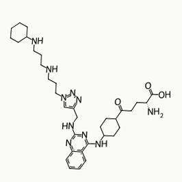 N[C@H](CCC(=O)C1CCC(Nc2nc(NCc3cn(CCCNCCCNC4CCCCC4)nn3)nc3ccccc23)CC1)C(=O)O